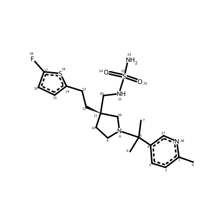 Cc1ccc(C(C)(C)N2CC[C@](CCc3ccc(F)s3)(CNS(N)(=O)=O)C2)cn1